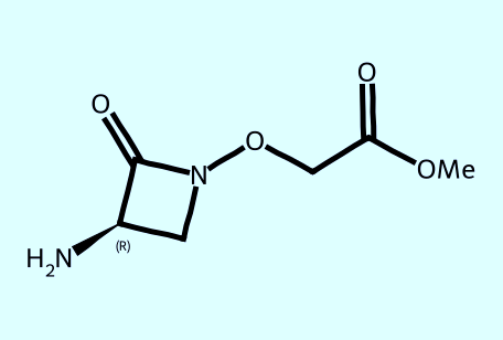 COC(=O)CON1C[C@@H](N)C1=O